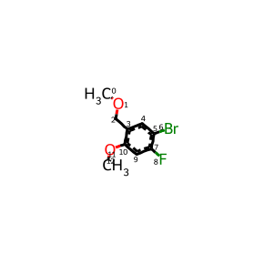 COCc1cc(Br)c(F)cc1OC